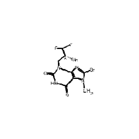 Cn1c(Br)nc2c1c(=O)[nH]c(=O)n2C[C@@H](O)C(F)F